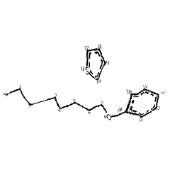 CCCCCCCCOc1ccccc1.c1ccsc1